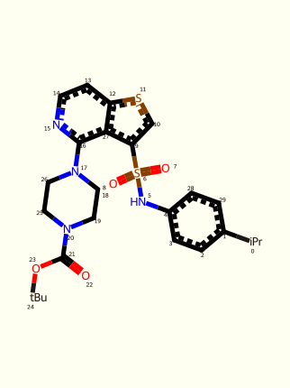 CC(C)c1ccc(NS(=O)(=O)c2csc3ccnc(N4CCN(C(=O)OC(C)(C)C)CC4)c23)cc1